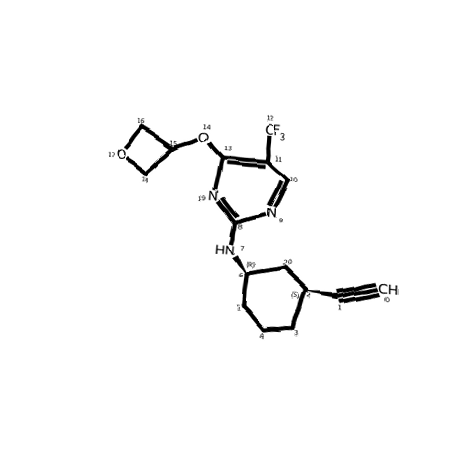 C#C[C@H]1CCC[C@@H](Nc2ncc(C(F)(F)F)c(OC3COC3)n2)C1